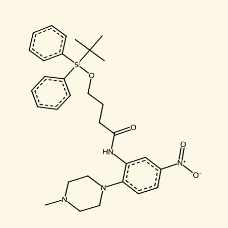 CN1CCN(c2ccc([N+](=O)[O-])cc2NC(=O)CCCO[Si](c2ccccc2)(c2ccccc2)C(C)(C)C)CC1